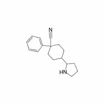 N#CC1(c2ccccc2)CCC(C2CCCN2)CC1